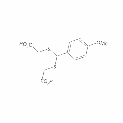 COc1ccc(C(SCC(=O)O)SCC(=O)O)cc1